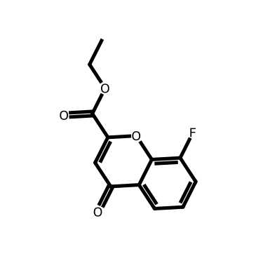 CCOC(=O)c1cc(=O)c2cccc(F)c2o1